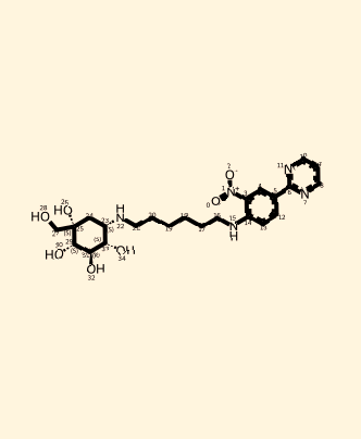 O=[N+]([O-])c1cc(-c2ncccn2)ccc1NCCCCCCN[C@H]1C[C@](O)(CO)[C@@H](O)[C@H](O)[C@H]1O